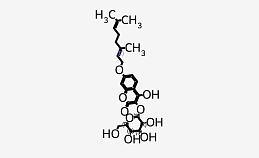 CC(C)=CCC/C(C)=C/COc1ccc2c(O)c(O[C@@H]3O[C@H](CO)[C@H](O)[C@H](O)[C@H]3O)c(=O)oc2c1